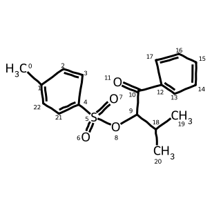 Cc1ccc(S(=O)(=O)OC(C(=O)c2ccccc2)C(C)C)cc1